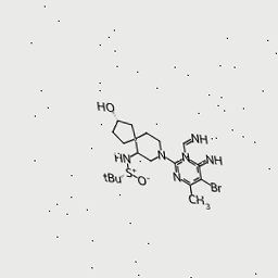 Cc1nc(N2CCC3(CC[C@H](O)C3)C(N[S@+]([O-])C(C)(C)C)C2)n(C=N)c(=N)c1Br